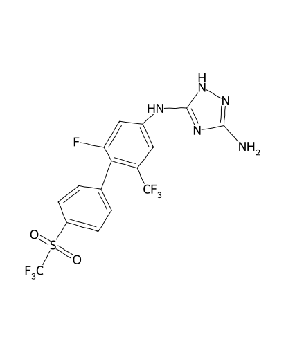 Nc1n[nH]c(Nc2cc(F)c(-c3ccc(S(=O)(=O)C(F)(F)F)cc3)c(C(F)(F)F)c2)n1